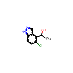 CNC(O)c1c(Cl)ccc2[nH]ncc12